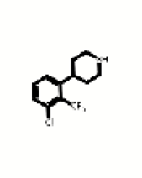 FC(F)(F)c1c(Cl)cccc1C1CCNCC1